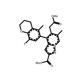 COC(=O)Cc1c(C)cn2nc(C(=O)OC)cc2c1-c1cc(F)c2c(c1C)CCCO2